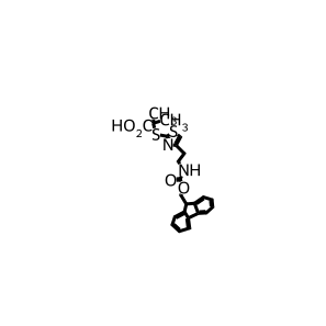 CC(C)(Sc1nc(CCNC(=O)OCC2c3ccccc3-c3ccccc32)cs1)C(=O)O